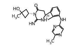 Cc1cnc(Nc2cccc3c2C[C@]32CC(=O)N([C@H]3C[C@@](C)(O)C3)C(=N)N2)cn1